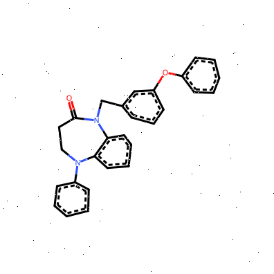 O=C1CCN(c2ccccc2)c2ccccc2N1Cc1cccc(Oc2ccccc2)c1